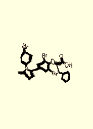 Cc1ccc(-c2cc(Br)c(O[C@H](Cc3ccccc3)C(=O)O)c(Br)c2)n1-c1ccc(Br)cc1